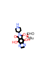 CC(C)(C)OC=O.O=C1c2c(c(O)c3nccnc3c2O)C(=O)N1C1CCNCC1